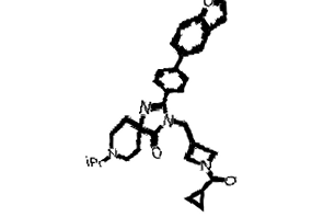 CC(C)N1CCC2(CC1)N=C(c1ccc(-c3ccc4occc4c3)cc1)N(CC1CN(C(=O)C3CC3)C1)C2=O